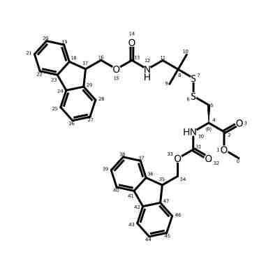 COC(=O)[C@H](CSSC(C)(C)CNC(=O)OCC1c2ccccc2-c2ccccc21)NC(=O)OCC1c2ccccc2-c2ccccc21